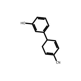 N#CC1=CCC(c2cccc(O)c2)C=C1